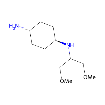 COCC(COC)N[C@H]1CC[C@H](N)CC1